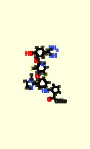 COC(=O)C1CCCC1Nc1ccc(Oc2c(F)cnc(Oc3cc(C(=N)N)ccc3O)c2F)c(C2N=CCN2C)c1